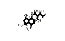 C=C(Nc1ccc(F)c2c1C(C)CC2(C)C)/C(=C/N)C(=N)C(F)F